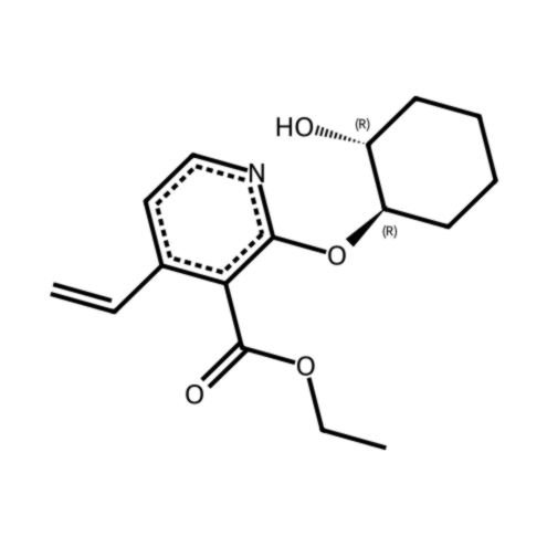 C=Cc1ccnc(O[C@@H]2CCCC[C@H]2O)c1C(=O)OCC